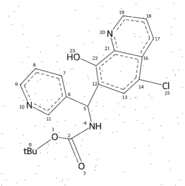 CC(C)(C)OC(=O)NC(c1cccnc1)c1cc(Cl)c2cccnc2c1O